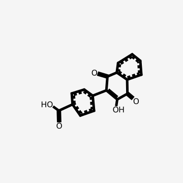 O=C(O)c1ccc(C2=C(O)C(=O)c3ccccc3C2=O)cc1